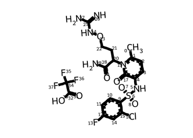 Cc1ccc(NS(=O)(=O)c2ccc(F)cc2Cl)c(=O)n1C(CCONC(=N)N)C(N)=O.O=C(O)C(F)(F)F